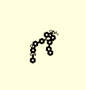 CC1(C)c2ccccc2-c2c(N(c3ccc(-c4ccc5oc6cc7oc(-c8ccccc8)nc7cc6c5c4)cc3)c3cccc(-c4ccc5ccccc5c4)c3)cccc21